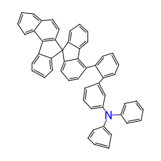 c1ccc(N(c2ccccc2)c2cccc(-c3ccccc3-c3cccc4c3-c3ccccc3C43c4ccccc4-c4c3ccc3ccccc43)c2)cc1